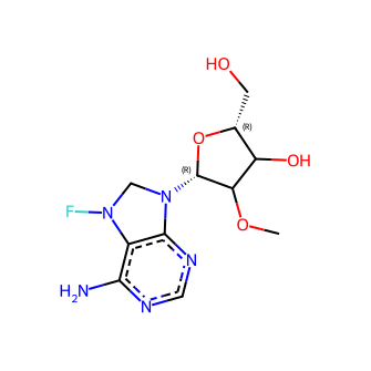 COC1C(O)[C@@H](CO)O[C@H]1N1CN(F)c2c(N)ncnc21